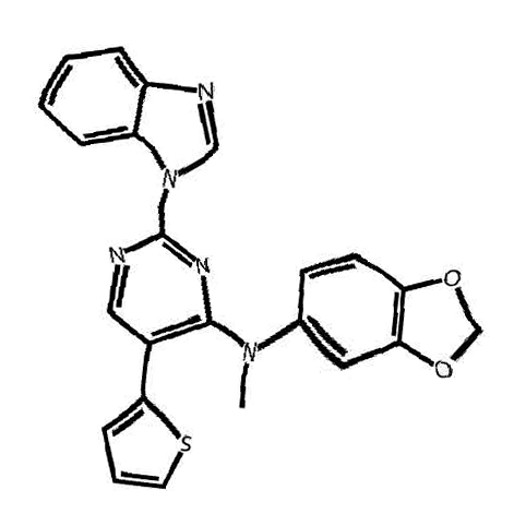 CN(c1ccc2c(c1)OCO2)c1nc(-n2cnc3ccccc32)ncc1-c1cccs1